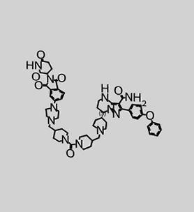 NC(=O)c1c(-c2ccc(Oc3ccccc3)cc2)nn2c1NCC[C@H]2C1CCN(CC2CCN(C(=O)N3CCC(CN4CCN(c5ccc6c(c5)C(=O)N(C5CCC(=O)NC5=O)C6=O)CC4)CC3)CC2)CC1